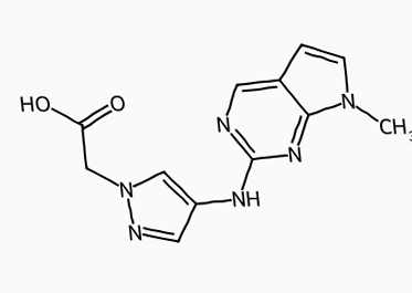 Cn1ccc2cnc(Nc3cnn(CC(=O)O)c3)nc21